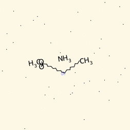 CCCCCCCC/C=C\CCCCCCCC(=O)OC.N